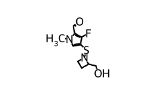 Cn1cc(SN2CCC2CO)c(F)c1C=O